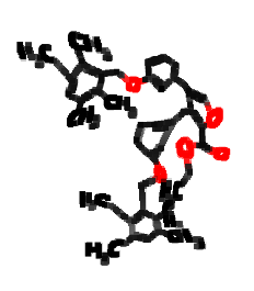 CCOC(=O)c1occ(-c2cccc(OCc3c(C)c(C)cc(C)c3C)c2)c1-c1cccc(OCc2c(C)c(C)cc(C)c2C)c1